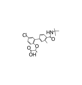 Cc1cc(-c2cc(Cl)ccc2O[C@@H](C)C(=O)O)ccc1C(=O)NC(C)(C)C